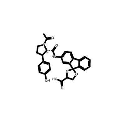 CC(=O)N1CCC(c2ccc(O)cc2)[C@H]1C(=O)Nc1ccc2c(c1)C1(OCC(C(=O)O)O1)c1ccccc1-2